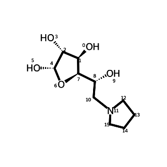 O[C@@H]1[C@@H](O)[C@@H](O)O[C@@H]1[C@H](O)CN1CCCC1